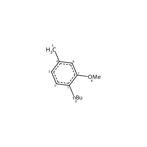 CCCCc1ccc(C)cc1OC